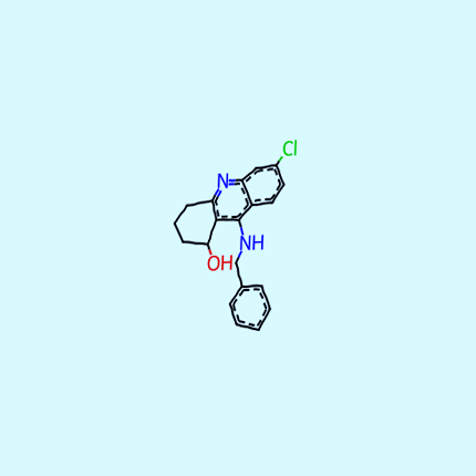 OC1CCCc2nc3cc(Cl)ccc3c(NCc3ccccc3)c21